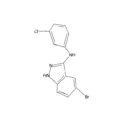 Clc1cccc(Nc2n[nH]c3ccc(Br)cc23)c1